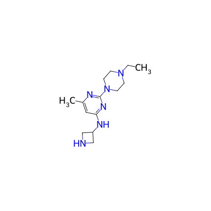 CCN1CCN(c2nc(C)cc(NC3CNC3)n2)CC1